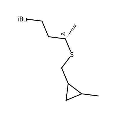 CCC(C)CC[C@H](C)SCC1CC1C